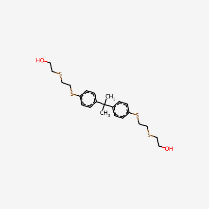 CC(C)(c1ccc(SCCSCCO)cc1)c1ccc(SCCSCCO)cc1